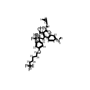 CN(C)c1ccc(C2=C(C(=O)NSC3CC3)C(=O)N[C@@](c3ccc(OCCCCCC(F)(F)F)cc3)(C(F)(F)F)C2)cc1